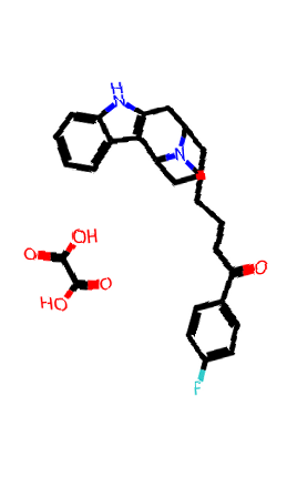 O=C(CCCCN1C2CCCC1c1c([nH]c3ccccc13)C2)c1ccc(F)cc1.O=C(O)C(=O)O